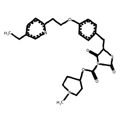 CCc1ccc(CCOc2ccc(CC3SC(=O)N(C(=O)OC4CCN(C)CC4)C3=O)cc2)nc1